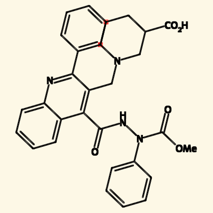 COC(=O)N(NC(=O)c1c(CN2CCCC(C(=O)O)C2)c(-c2ccccc2)nc2ccccc12)c1ccccc1